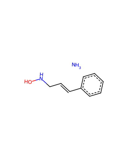 N.ONCC=Cc1ccccc1